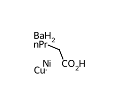 CCCCC(=O)O.[BaH2].[Cu].[Ni]